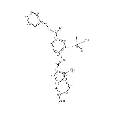 CCN(CC[n+]1ccccc1)c1ccc(N=Nc2sc3cc(OC)ccc3[n+]2C)cc1.F[B-](F)(F)F